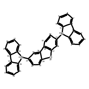 c1ccc2c(c1)c1ccccc1n2-c1ccc2c(c1)oc1ccc(-n3c4ccccc4c4ccccc43)cc12